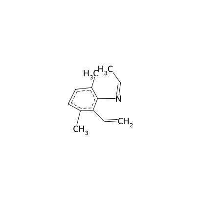 C=Cc1c(C)ccc(C)c1/N=C\C